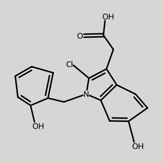 O=C(O)Cc1c(Cl)n(Cc2ccccc2O)c2cc(O)ccc12